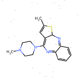 CC1=CC2=C(N3CCN(C)CC3)N=c3ccccc3=NC2S1